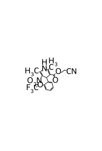 CC1=C(C(=O)OCCC#N)C(c2ccccc2OC(F)(F)F)C([N+](=O)[O-])=C(C)N1